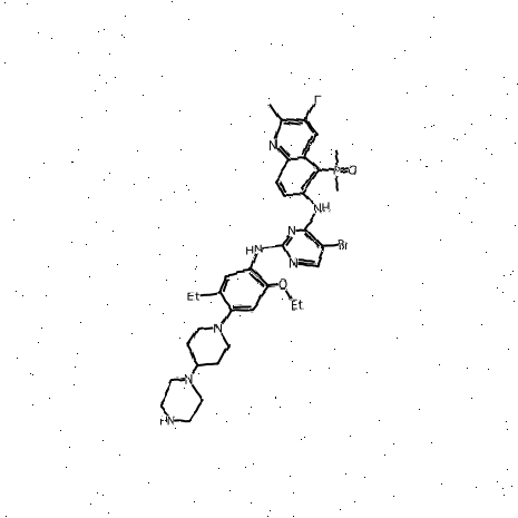 CCOc1cc(N2CCC(N3CCNCC3)CC2)c(CC)cc1Nc1ncc(Br)c(Nc2ccc3nc(C)c(F)cc3c2P(C)(C)=O)n1